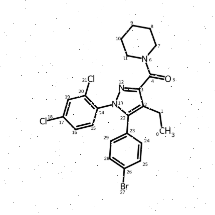 CCc1c(C(=O)N2CCCCC2)nn(-c2ccc(Cl)cc2Cl)c1-c1ccc(Br)cc1